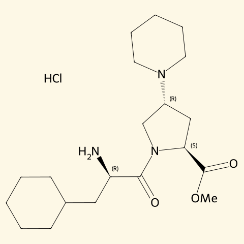 COC(=O)[C@@H]1C[C@@H](N2CCCCC2)CN1C(=O)[C@H](N)CC1CCCCC1.Cl